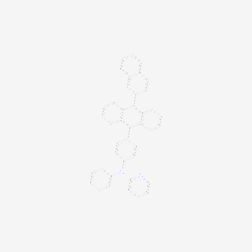 c1ccc(N(c2ccc(-c3c4ccccc4c(-c4ccc5ccccc5c4)c4ccccc34)cc2)c2ccccn2)cc1